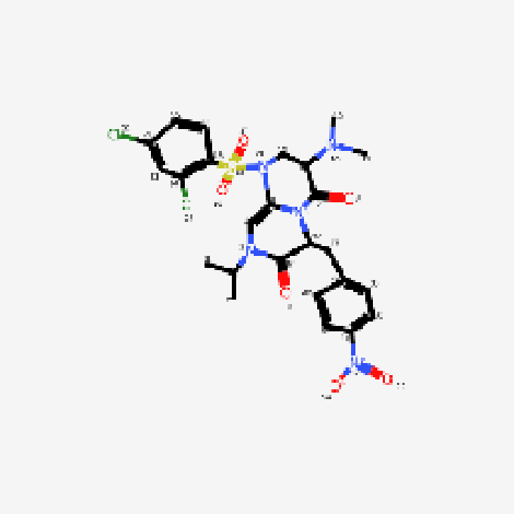 CC(C)N1C=C2N(C(=O)C(N(C)C)CN2S(=O)(=O)c2ccc(Cl)cc2Cl)C(Cc2ccc([N+](=O)[O-])cc2)C1=O